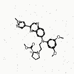 COC(=O)[C@@H]1CCCN1CCN(c1cc(OC)cc(OC)c1)c1ccc2ncc(-c3cnn(C)c3)nc2c1